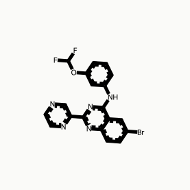 FC(F)Oc1cccc(Nc2nc(-c3cnccn3)nc3ccc(Br)cc23)c1